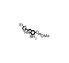 CCC1CN=C(c2cc3cc(OCCOC)cc(N)c3[nH]2)S1